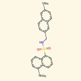 COc1ccc2cc(CNS(=O)(=O)c3cccc4c(NC(C)=O)cccc34)ccc2c1